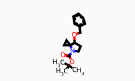 CC(C)(C)OC(=O)N1CCC(OCc2ccccc2)C12CC2